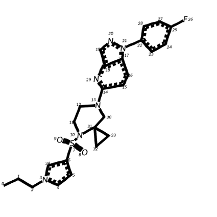 CCCn1ccc(S(=O)(=O)N2CCN(c3ccc4c(cnn4-c4ccc(F)cc4)n3)CC23CC3)c1